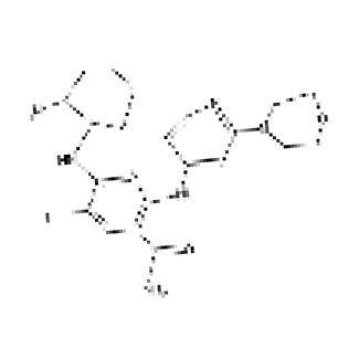 NC(=O)c1cc(F)c(NC2CCCCC2N)nc1Nc1ccnc(N2CCOCC2)c1